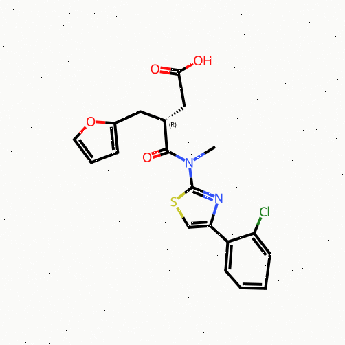 CN(C(=O)[C@@H](CC(=O)O)Cc1ccco1)c1nc(-c2ccccc2Cl)cs1